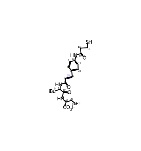 CCC(C)C(NC(=O)/C=C/c1ccc(NC(=O)CCS)cc1)C(=O)N[C@@H](CC(C)C)C(=O)O